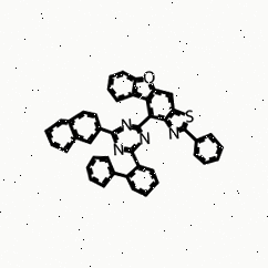 c1ccc(-c2nc3c(-c4nc(-c5ccc6ccccc6c5)nc(-c5ccccc5-c5ccccc5)n4)c4c(cc3s2)oc2ccccc24)cc1